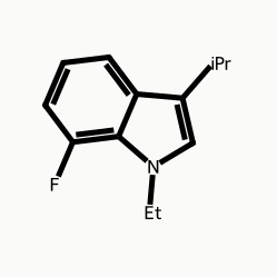 CCn1cc(C(C)C)c2cccc(F)c21